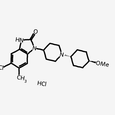 CO[C@H]1CC[C@H](N2CCC(n3c(=O)[nH]c4cc(Cl)c(C)cc43)CC2)CC1.Cl